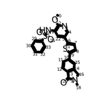 COc1ncc(-c2ccc(-c3ccc4c(c3)CN(C)C4=O)s2)cc1NS(=O)(=O)c1ccccc1